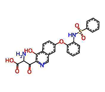 NC(C(=O)O)C(=O)c1ncc2cc(Oc3ccccc3NS(=O)(=O)c3ccccc3)ccc2c1O